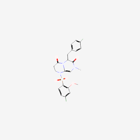 CC(C)N1C=C2N(C(=O)CCN2S(=O)(=O)c2ccc(Br)cc2OC(F)(F)F)C(Cc2ccc(Cl)cc2)C1=O